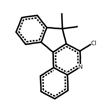 CC1(C)c2ccccc2-c2c1c(Cl)nc1ccccc21